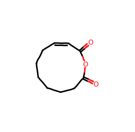 O=C1C=CCCCCCCC(=O)O1